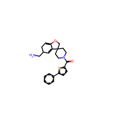 NCC1C=C2C(=CC1)OCC21CCN(C(=O)c2ccc(-c3ccccc3)s2)CC1